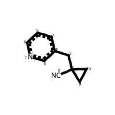 N#CC1(Cc2[c]ccnc2)CC1